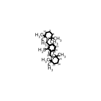 Bc1c(CN2C(C)(C)CCCC2(C)C)cccc1CN1C(C)(C)CCCC1(C)C